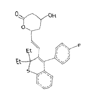 CCC1(CC)Sc2ccccc2C(c2ccc(F)cc2)=C1C=CC1CC(O)CC(=O)O1